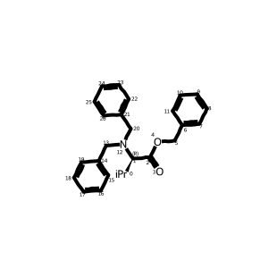 CC(C)[C@H](C(=O)OCc1ccccc1)N(Cc1ccccc1)Cc1ccccc1